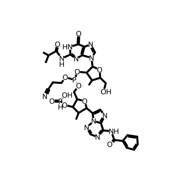 CC(C)C(=O)Nc1nc2c(ncn2C2OC(CO)C(C)C2OP(OCCC#N)OCC2OC(c3cnc4c(NC(=O)c5ccccc5)ncnn34)C(C)C2O[PH](=O)O)c(=O)[nH]1